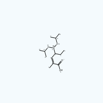 CCC(C=C(C)C(=O)O)[SiH](OC(C)C)OC(C)C